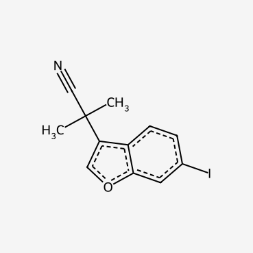 CC(C)(C#N)c1coc2cc(I)ccc12